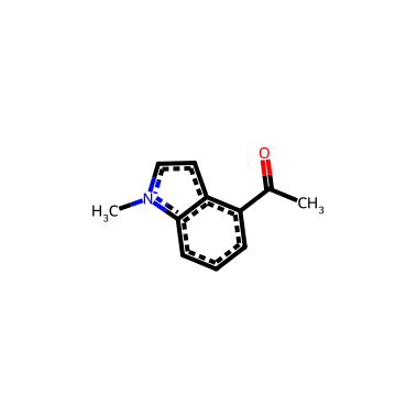 CC(=O)c1cccc2c1ccn2C